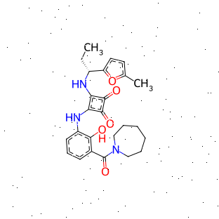 CC[C@@H](Nc1c(Nc2cccc(C(=O)N3CCCCCC3)c2O)c(=O)c1=O)c1ccc(C)o1